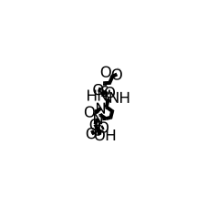 COC(=O)CCS(=O)(=O)NC(=N)C1CCC2CN1C(=O)N2OS(=O)(=O)O